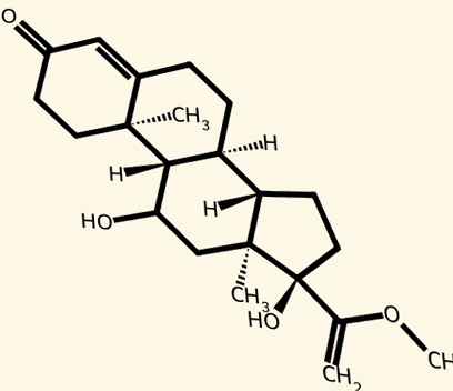 C=C(OC)[C@@]1(O)CC[C@H]2[C@@H]3CCC4=CC(=O)CC[C@]4(C)[C@H]3C(O)C[C@@]21C